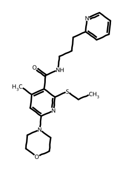 CCSc1nc(N2CCOCC2)cc(C)c1C(=O)NCCCc1ccccn1